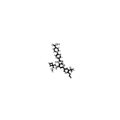 CCCc1ncc(-c2cc(N(C)CC3(COC)CCC3)c3[nH]c(-c4cnc(N5CCC(C(=O)O)CC5)cn4)nc3n2)cc1C(F)(F)F